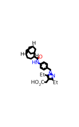 CCc1nn(Cc2ccc(NC(=O)C3CC[C@H]4C[C@H]5CC4C[C@H]3C5)cc2)c(CC)c1CC(=O)O